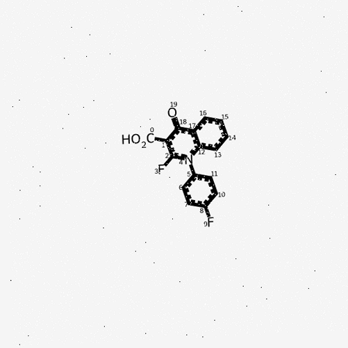 O=C(O)c1c(F)n(-c2ccc(F)cc2)c2ccccc2c1=O